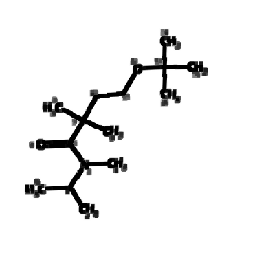 CC(C)N(C)C(=O)C(C)(C)CCOC(C)(C)C